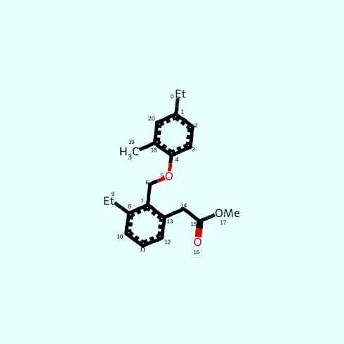 CCc1ccc(OCc2c(CC)cccc2CC(=O)OC)c(C)c1